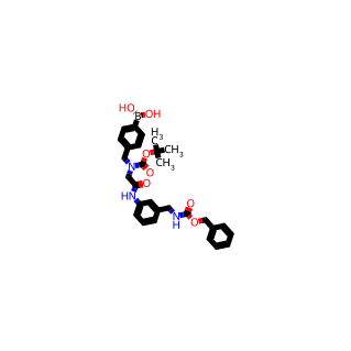 CC(C)(C)OC(=O)N(CC(=O)Nc1cccc(CNC(=O)OCc2ccccc2)c1)Cc1ccc(B(O)O)cc1